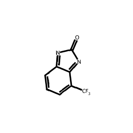 O=C1N=c2cccc(C(F)(F)F)c2=N1